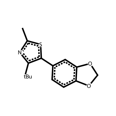 Cc1nc(C(C)(C)C)c(-c2ccc3c(c2)OCO3)s1